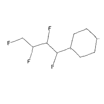 FCC(F)C(F)C(F)[C]1CC[CH]CC1